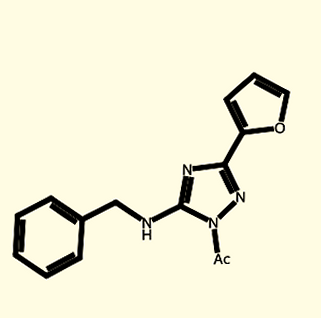 CC(=O)n1nc(-c2ccco2)nc1NCc1ccccc1